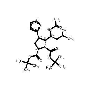 CC(=O)N[C@@H](CC(C)C)[C@H]1[C@H](c2ccno2)C[C@H](C(=O)OC(C)(C)C)N1C(=O)OC(C)(C)C